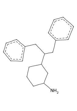 NC1CCCC(C(Cc2ccccc2)Cc2ccccc2)C1